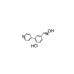 Cl.ON=Cc1cccc(-c2ccncc2)c1